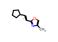 Cc1coc(/C=C/C2CCCC2)n1